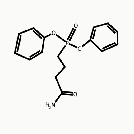 NC(=O)CCCP(=O)(Oc1ccccc1)Oc1ccccc1